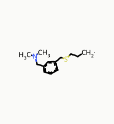 [CH2]CCSCc1cccc(CN(C)C)c1